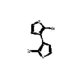 Brc1sc[c]c1-c1[c]csc1Br